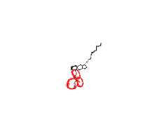 CCCCCCCCC[C@H]1CCC2Cc3c(cccc3OCC(=O)OC)CC21